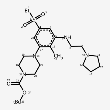 CCS(=O)(=O)c1cc(NCCN2CCCC2)c(C)c(N2CCN(C(=O)OC(C)(C)C)CC2)c1